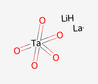 [La].[LiH].[O]=[Ta](=[O])(=[O])(=[O])=[O]